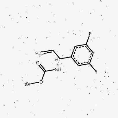 C=C[C@@H](NC(=O)OC(C)(C)C)c1cc(F)cc(I)c1